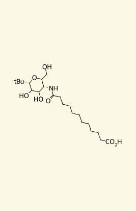 CC(C)(C)[C@@H]1OC(CO)[C@H](NC(=O)CCCCCCCCCCC(=O)O)C(O)C1O